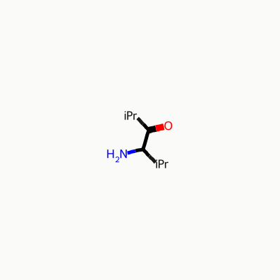 CC(C)C(=O)C(N)C(C)C